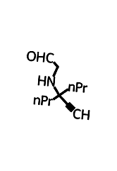 C#CC(CCC)(CCC)NCC=O